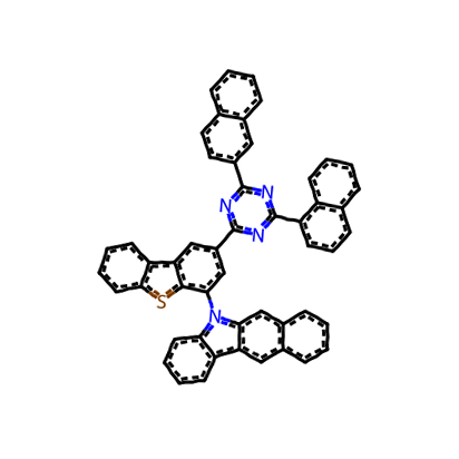 c1ccc2cc(-c3nc(-c4cc(-n5c6ccccc6c6cc7ccccc7cc65)c5sc6ccccc6c5c4)nc(-c4cccc5ccccc45)n3)ccc2c1